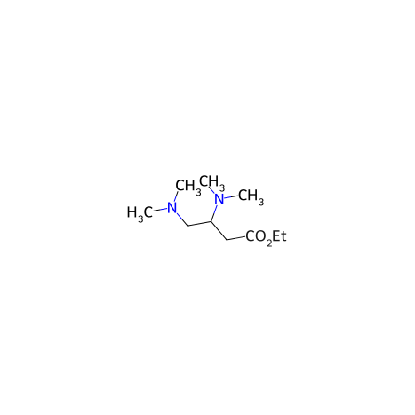 CCOC(=O)CC(CN(C)C)N(C)C